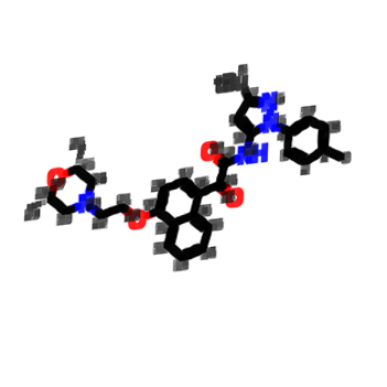 Cc1ccc(-n2nc(C(C)(C)C)cc2NC(=O)C(=O)c2ccc(OCCN3C[C@@H](C)O[C@@H](C)C3)c3ccccc23)cc1